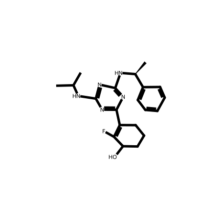 CC(C)Nc1nc(N[C@@H](C)c2ccccc2)nc(C2=C(F)C(O)CCC2)n1